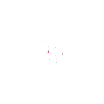 COC(=O)C1C2CNCC1C2